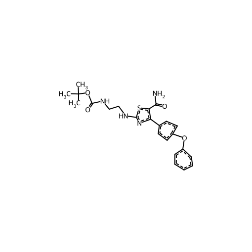 CC(C)(C)OC(=O)NCCNc1nc(-c2ccc(Oc3ccccc3)cc2)c(C(N)=O)s1